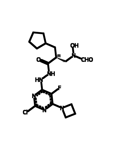 O=CN(O)C[C@@H](CC1CCCC1)C(=O)NNc1nc(Cl)nc(N2CCC2)c1F